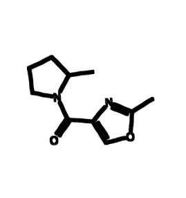 Cc1nc(C(=O)N2CCCC2C)co1